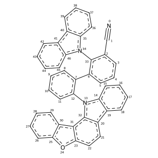 N#Cc1cccc(-c2ccccc2-n2c3ccccc3c3ccc4oc5ccccc5c4c32)c1-n1c2ccccc2c2ccccc21